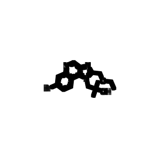 CCOCc1nc2cnc3cc(Br)ccc3c2n1CC(C)(C)O